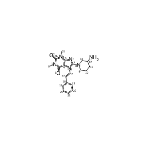 Cn1c(=O)c2c(nc(N3CCCC(N)C3)n2/C=C/c2ccccc2)n(C)c1=O